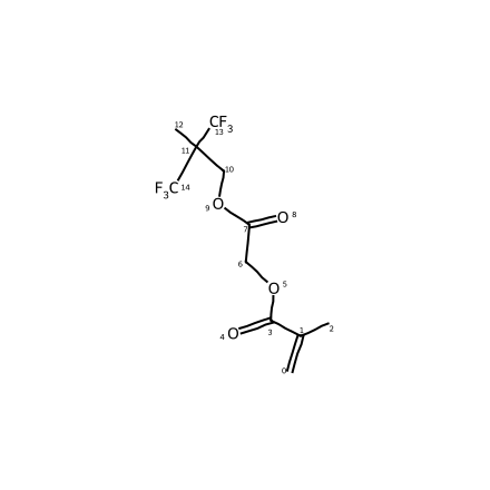 C=C(C)C(=O)OCC(=O)OCC(C)(C(F)(F)F)C(F)(F)F